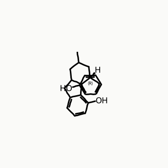 CC1CC2Cc3cccc(O)c3C23c2c(O)cccc2C[C@H]3C1